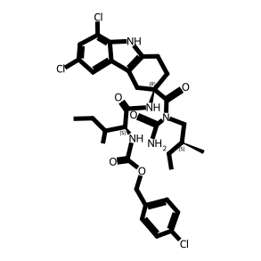 CCC(C)[C@H](NC(=O)OCc1ccc(Cl)cc1)C(=O)N[C@]1(C(=O)N(C[C@@H](C)CC)C(N)=O)CCc2[nH]c3c(Cl)cc(Cl)cc3c2C1